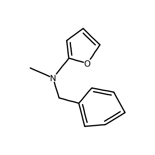 CN(Cc1ccccc1)c1ccco1